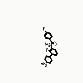 CN(C)C1CC=C(c2cccc(NC(=O)c3ccc(F)cc3)c2F)CC1